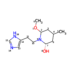 COC1CC(C)C[C@H](O)N1CCc1cnc[nH]1